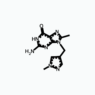 Cc1nc2c(=O)[nH]c(N)nc2n1Cc1cnn(C)c1